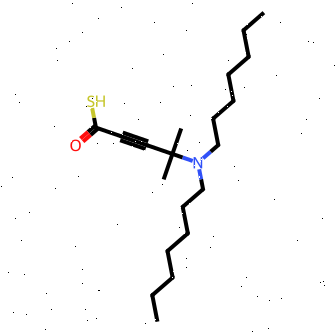 CCCCCCCN(CCCCCCC)C(C)(C)C#CC(=O)S